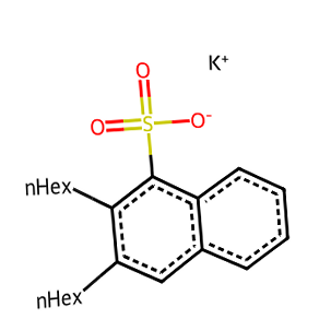 CCCCCCc1cc2ccccc2c(S(=O)(=O)[O-])c1CCCCCC.[K+]